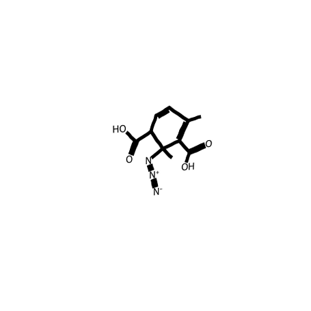 CC1=C(C(=O)O)C(C)(N=[N+]=[N-])C(C(=O)O)C=C1